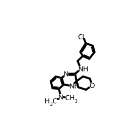 CN(C)c1cccc2c1NC1(CCOCC1)C(NCc1cccc(Cl)c1)=N2